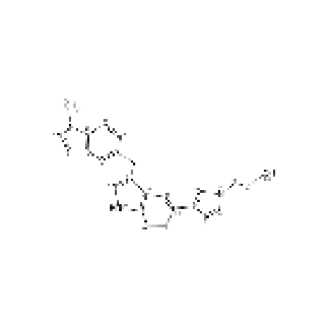 Cn1ncc2cc(Cc3n[nH]c4ccc(-c5cn(CCO)cn5)cc34)ccc21